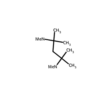 CNC(C)(C)CC(C)(C)NC